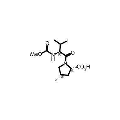 COC(=O)N[C@H](C(=O)N1C[C@@H](C)C[C@H]1C(=O)O)C(C)I